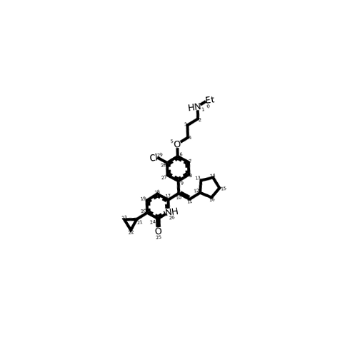 CCNCCCOc1ccc(/C(=C\C2CCCC2)c2ccc(C3CC3)c(=O)[nH]2)cc1Cl